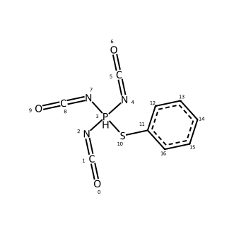 O=C=N[PH](N=C=O)(N=C=O)Sc1ccccc1